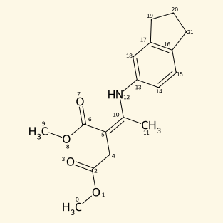 COC(=O)CC(C(=O)OC)=C(C)Nc1ccc2c(c1)CCC2